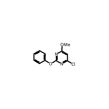 COc1cc(Cl)nc(Oc2ccccc2)n1